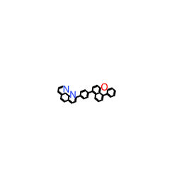 c1ccc2c(c1)Oc1ccc(-c3ccc(-c4ccc5ccc6cccnc6c5n4)cc3)c3cccc-2c13